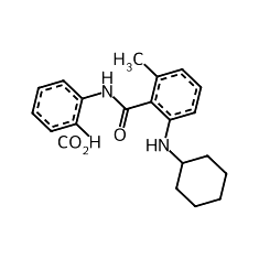 Cc1cccc(NC2CCCCC2)c1C(=O)Nc1ccccc1C(=O)O